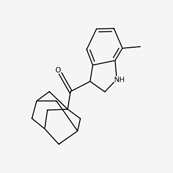 Cc1cccc2c1NCC2C(=O)C12CC3CC(CC(C3)C1)C2